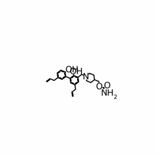 C=CCc1ccc(O)c(-c2cc(CC=C)cc(CN3CCC(COC(N)=O)CC3)c2O)c1